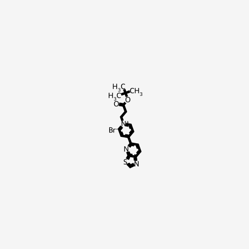 CC(C)(C)OC(=O)CC[n+]1ccc(-c2ccc3ncsc3n2)cc1.[Br-]